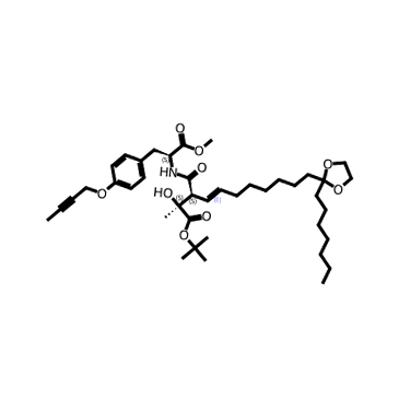 CC#CCOc1ccc(C[C@H](NC(=O)[C@@H](/C=C/CCCCCCC2(CCCCCCC)OCCO2)[C@](C)(O)C(=O)OC(C)(C)C)C(=O)OC)cc1